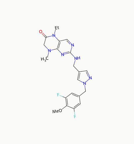 CCN1C(=O)CN(C)c2nc(NCc3cnn(Cc4cc(F)c(OC)c(F)c4)c3)ncc21